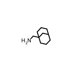 NCC12CCCC(CCC1)C2